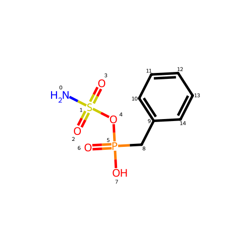 NS(=O)(=O)OP(=O)(O)Cc1ccccc1